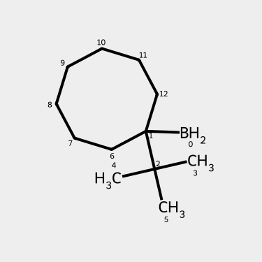 BC1(C(C)(C)C)CCCCCCC1